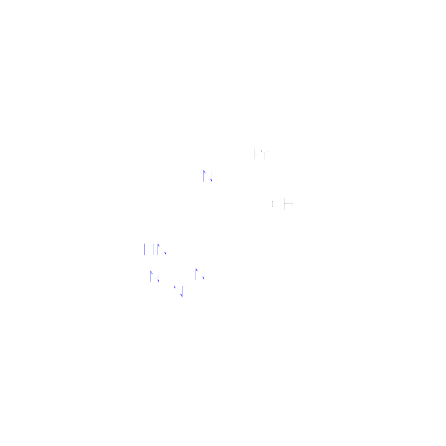 Cc1cc(-c2nnn[nH]2)cnc1C(C)C